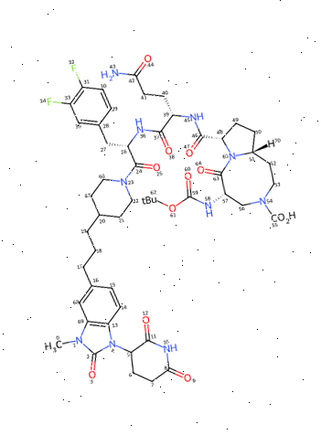 Cn1c(=O)n(C2CCC(=O)NC2=O)c2ccc(CCCC3CCN(C(=O)[C@H](Cc4ccc(F)c(F)c4)NC(=O)[C@H](CCC(N)=O)NC(=O)[C@@H]4CC[C@@H]5CCN(C(=O)O)C[C@H](NC(=O)OC(C)(C)C)C(=O)N54)CC3)cc21